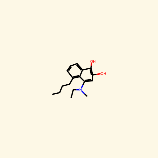 CCCCc1cccc2c(O)c(O)cc(N(C)CC)c12